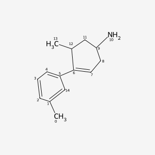 Cc1cccc(C2=CCC(N)CC2C)c1